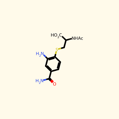 CC(=O)NC(CSc1ccc(C(N)=O)cc1N)C(=O)O